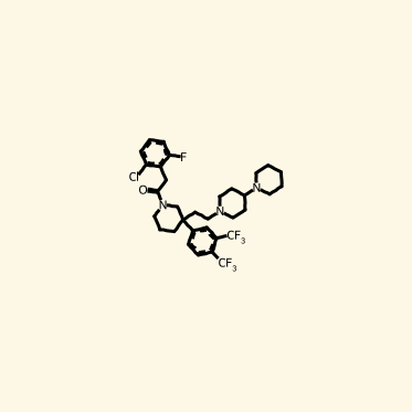 O=C(Cc1c(F)cccc1Cl)N1CCCC(CCN2CCC(N3CCCCC3)CC2)(c2ccc(C(F)(F)F)c(C(F)(F)F)c2)C1